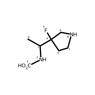 CC(NC(=O)O)C1(F)CCNC1